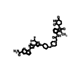 Cn1c(=O)n(C2CCC(=O)NC2=O)c2cccc(NC(=O)CN3CCN(CC4CCC(n5cc(-n6cc(-n7ccc8cc(C(N)=O)cnc87)nn6)c(C(F)F)n5)CC4)CC3)c21